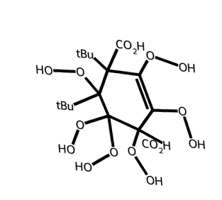 CC(C)(C)C1(C(=O)O)C(OO)=C(OO)C(OO)(C(=O)O)C(OO)(OO)C1(OO)C(C)(C)C